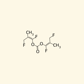 CC(CF)=C(F)OC(=O)OC(F)=C(C)CF